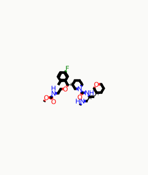 CNC[C@H](C[C@H]1CCCOC1)NC(=O)N1CCC[C@@H](C(OCCNC(=O)OC)c2cc(F)ccc2C)C1